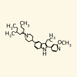 CCC[C@H](CC(C)CC)N1CCC(c2ccc3[nH]c(-c4ccnc(OC)c4)c(CC)c3c2)CC1